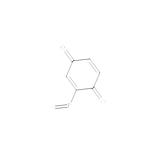 O=C1C=CC(=O)C(P=S)=C1